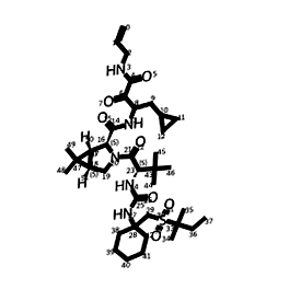 C=CCNC(=O)C(=O)C(CC1CC1)NC(=O)[C@@H]1[C@@H]2[C@H](CN1C(=O)[C@@H](NC(=O)NC1(CS(=O)(=O)C(C)(C)CC)CCCCC1)C(C)(C)C)C2(C)C